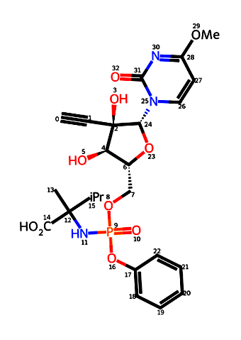 C#C[C@@]1(O)[C@H](O)[C@@H](COP(=O)(NC(C)(C(=O)O)C(C)C)Oc2ccccc2)O[C@H]1n1ccc(OC)nc1=O